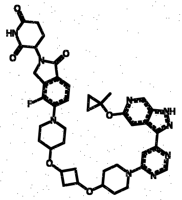 CC1(Oc2cc3c(-c4cc(N5CCC(OC6CC(OC7CCN(c8ccc9c(c8F)CN(C8CCC(=O)NC8=O)C9=O)CC7)C6)CC5)ncn4)n[nH]c3cn2)CC1